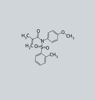 C=C(C)C(=O)N(c1ccc(OC)cc1)S(=O)(=O)c1ccccc1C